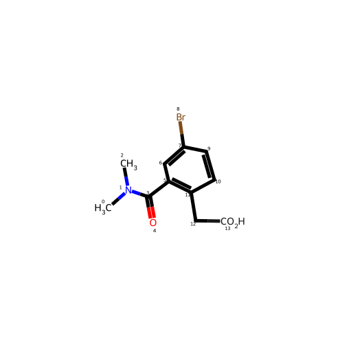 CN(C)C(=O)c1cc(Br)ccc1CC(=O)O